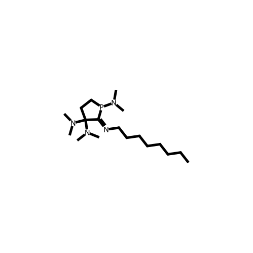 CCCCCCCC/N=C1\P(N(C)C)CCC1(N(C)C)N(C)C